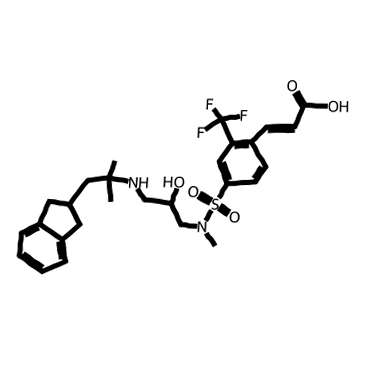 CN(CC(O)CNC(C)(C)CC1Cc2ccccc2C1)S(=O)(=O)c1ccc(C=CC(=O)O)c(C(F)(F)F)c1